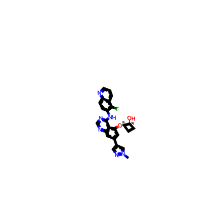 Cn1cc(-c2cc(O[C@H]3CC[C@H]3O)c3c(Nc4ccc5ncccc5c4F)ncnc3c2)cn1